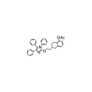 CC(=O)Oc1cccc2c1CCC(CCOc1nc(-c3ccccc3)c(-c3ccccc3)n1-c1ccccc1)C2